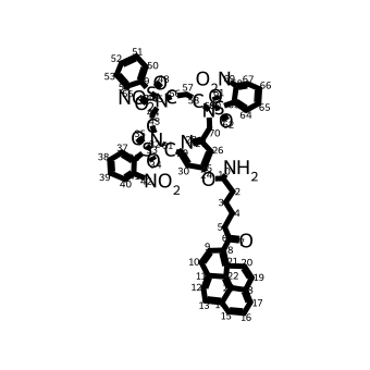 NC(CCCCC(=O)c1ccc2ccc3cccc4ccc1c2c34)Oc1cc2nc(c1)CN(S(=O)(=O)c1ccccc1[N+](=O)[O-])CCN(S(=O)(=O)c1ccccc1[N+](=O)[O-])CCCN(S(=O)(=O)c1ccccc1[N+](=O)[O-])C2